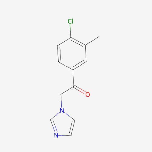 Cc1cc(C(=O)Cn2ccnc2)ccc1Cl